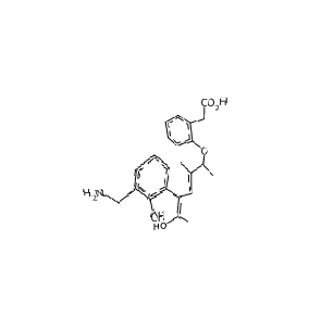 C/C(O)=C(\C=C(/C)C(C)Oc1ccccc1CC(=O)O)c1cccc(CN)c1O